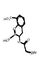 CSCC(=O)NC1Cc2cccc(C(=O)O)c2OB1O